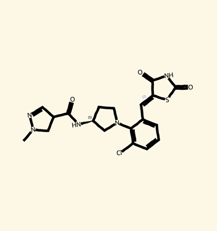 CN1CC(C(=O)N[C@H]2CCN(c3c(Cl)cccc3/C=C3\SC(=O)NC3=O)C2)C=N1